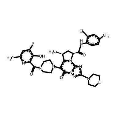 Cc1cc(F)c(O)c(C(=O)N2CCN(c3c4n(c5nc(N6CCOCC6)nn5c3=O)[C@H](C(=O)Nc3ccc(C(F)(F)F)cc3Cl)C[C@@H]4C)CC2)n1